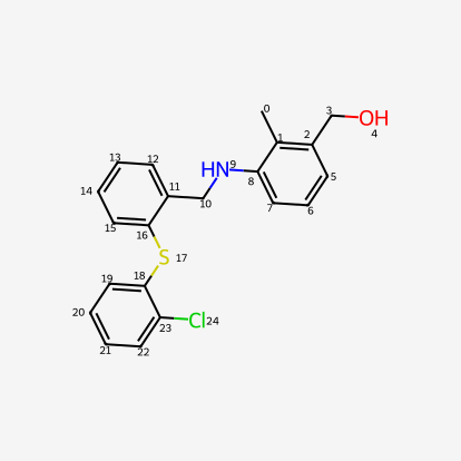 Cc1c(CO)cccc1NCc1ccccc1Sc1ccccc1Cl